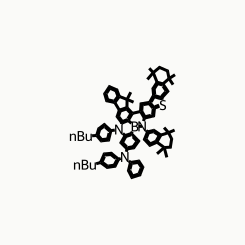 CCCCc1ccc(N(c2ccccc2)c2ccc3c(c2)N(c2ccc(CCCC)cc2)c2cc4c(c5c2B3N(c2ccc3c(c2)C(C)(C)CCC3(C)C)c2cc3sc6cc7c(cc6c3cc2-5)C(C)(C)CCC7(C)C)C(C)(C)c2ccccc2-4)cc1